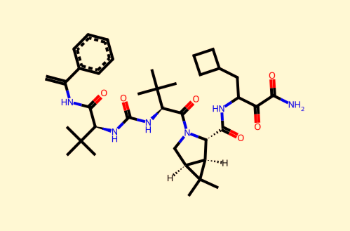 C=C(NC(=O)[C@@H](NC(=O)N[C@H](C(=O)N1C[C@H]2[C@@H]([C@H]1C(=O)NC(CC1CCC1)C(=O)C(N)=O)C2(C)C)C(C)(C)C)C(C)(C)C)c1ccccc1